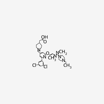 C=N/C(=N\C=C(/C)Oc1cc(CN2CCC(CC(=O)O)CC2)cc(-c2cc(Cl)cc(Cl)c2)n1)N1CCN(CC)CC1